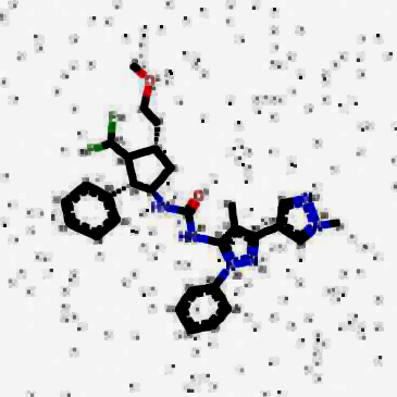 COCC[C@@H]1C[C@@H](NC(=O)Nc2c(C)c(-c3cnn(C)c3)nn2-c2ccccc2)[C@H](c2ccccc2)C1C(F)F